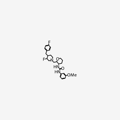 COc1cccc(NC(=O)N[C@@H]2CCCOC2CN2CCC(Cc3ccc(F)cc3)C(F)C2)c1